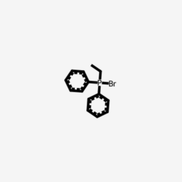 CC[P](Br)(c1ccccc1)c1ccccc1